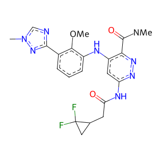 CNC(=O)c1nnc(NC(=O)CC2CC2(F)F)cc1Nc1cccc(-c2ncn(C)n2)c1OC